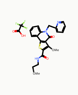 COCCNC(=O)c1sc2c(c1OC)c(=O)n(Cc1ccccn1)c1ccccc21.O=C(O)C(F)(F)F